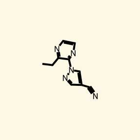 CCc1nccnc1-n1cc(C#N)cn1